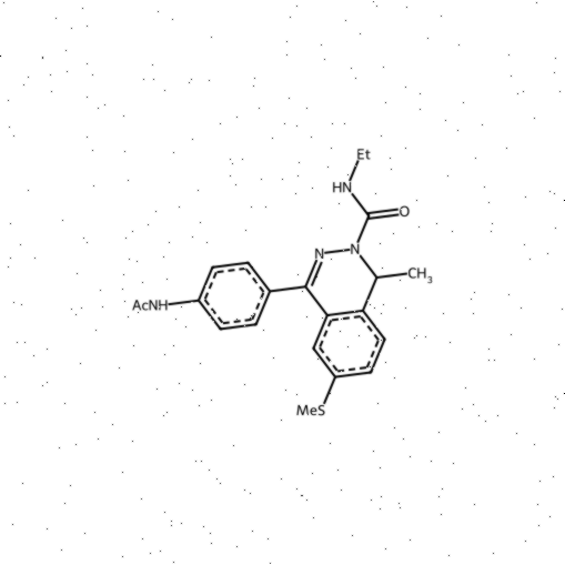 CCNC(=O)N1N=C(c2ccc(NC(C)=O)cc2)c2cc(SC)ccc2C1C